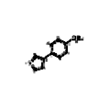 CC(C)COc1ccc(-c2ccsc2)cc1